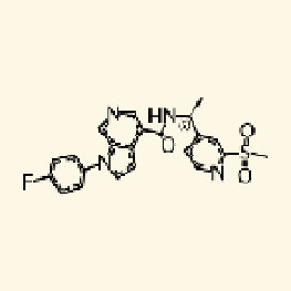 C[C@H](NC(=O)c1cncc2c1ccn2-c1ccc(F)cc1)c1ccnc(S(C)(=O)=O)c1